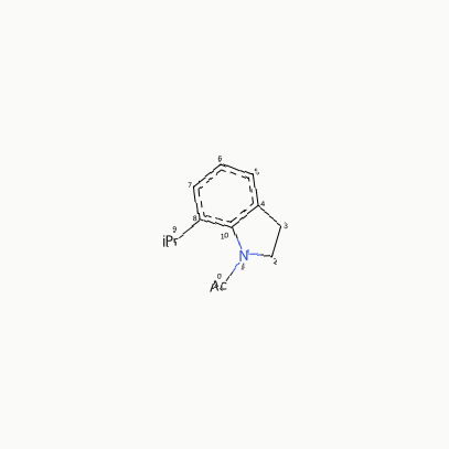 CC(=O)N1CCc2cccc(C(C)C)c21